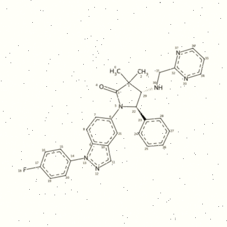 CC1(C)C(=O)N(c2ccc3c(cnn3-c3ccc(F)cc3)c2)[C@H](c2ccccc2)[C@H]1NCc1ncccn1